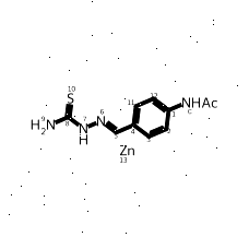 CC(=O)Nc1ccc(C=NNC(N)=S)cc1.[Zn]